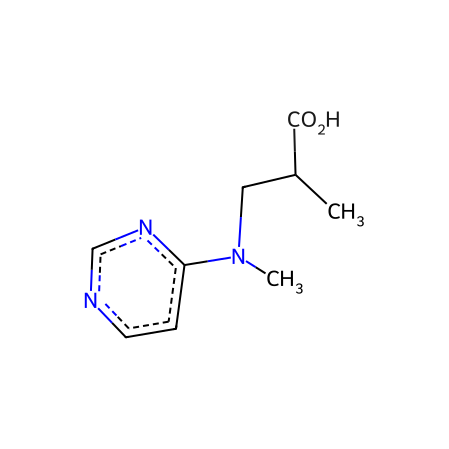 CC(CN(C)c1ccncn1)C(=O)O